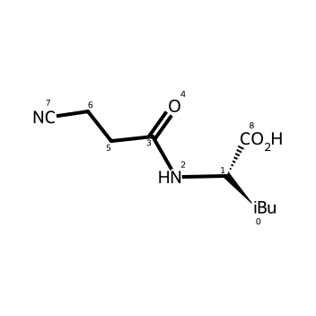 CC[C@H](C)[C@H](NC(=O)CCC#N)C(=O)O